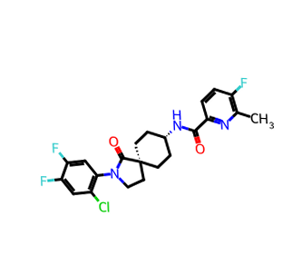 Cc1nc(C(=O)N[C@H]2CC[C@@]3(CCN(c4cc(F)c(F)cc4Cl)C3=O)CC2)ccc1F